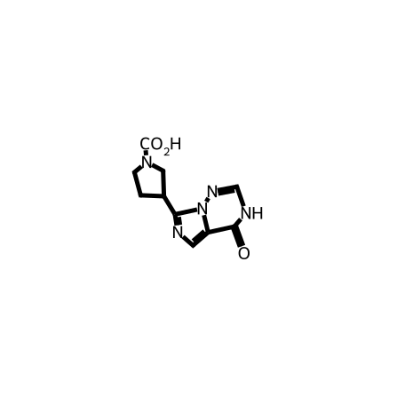 O=C(O)N1CCC(c2ncc3c(=O)[nH]cnn23)C1